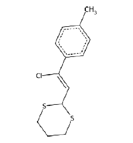 Cc1ccc(/C(Cl)=C/C2SCCCS2)cc1